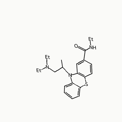 CCNC(=O)c1ccc2c(c1)N(C(C)CN(CC)CC)c1ccccc1S2